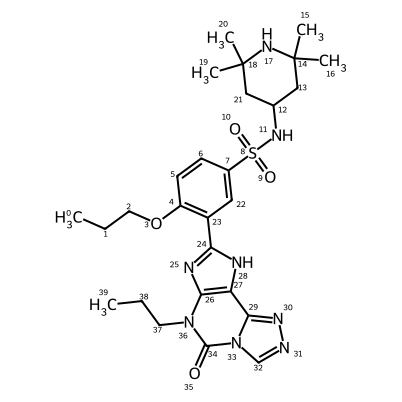 CCCOc1ccc(S(=O)(=O)NC2CC(C)(C)NC(C)(C)C2)cc1-c1nc2c([nH]1)c1nncn1c(=O)n2CCC